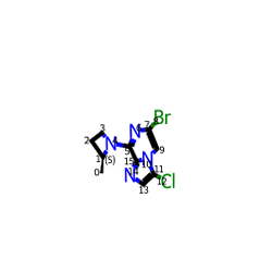 C[C@H]1CCN1c1nc(Br)cn2c(Cl)cnc12